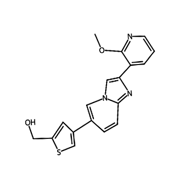 COc1ncccc1-c1cn2cc(-c3csc(CO)c3)ccc2n1